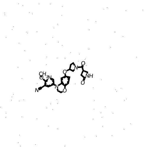 COc1ncc(N2CCOc3ccc(OC4CCN(C(=O)C5CNC(=O)C5)C4)cc32)cc1C#N